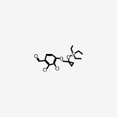 CC[Si](CC)(CC)OC1(COc2ccc(C=O)c(Cl)c2Cl)CC1